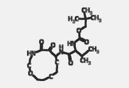 CC(C)C(NC(=O)OCC(C)(C)C)C(=O)NC1CCCCCOCCNC(=O)C1=O